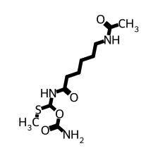 CSC(NC(=O)CCCCCNC(C)=O)OC(N)=O